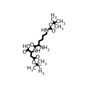 CC(C)(C)OC(=O)CC(NC(=O)C(N)CCCCNC(=O)OC(C)(C)C)C(=O)O